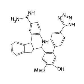 COc1cc(C2Nc3ccc(C(=N)N)cc3C3c4ccccc4CC23)c(-c2ccc(-c3nnn[nH]3)cc2)cc1O